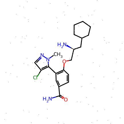 Cn1ncc(Cl)c1-c1cc(C(N)=O)ccc1OC[C@@H](N)CC1CCCCC1